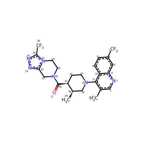 Cc1cnc2cc(C(F)(F)F)ccc2c1N1CC[C@H](C(=O)N2CCn3c(nnc3C(F)(F)F)C2)[C@H](C)C1